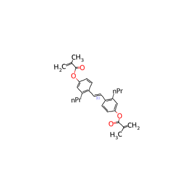 C=C(C)C(=O)Oc1ccc(/C=C/c2ccc(OC(=O)C(=C)C)cc2CCC)c(CCC)c1